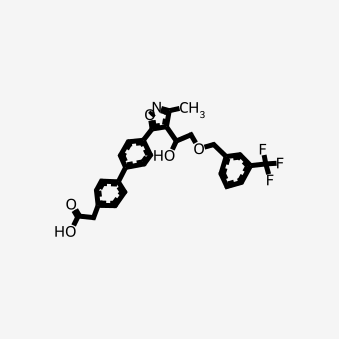 Cc1noc(-c2ccc(-c3ccc(CC(=O)O)cc3)cc2)c1C(O)COCc1cccc(C(F)(F)F)c1